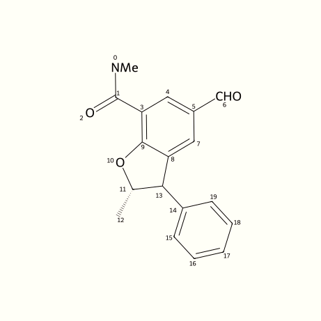 CNC(=O)c1cc(C=O)cc2c1O[C@@H](C)C2c1ccccc1